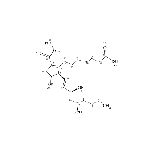 CCCC[C@@H](C)C[C@H](O)C=C[C@@H]1C(SCCCCCC(=O)O)=C(C(=O)OC)C[C@H]1O